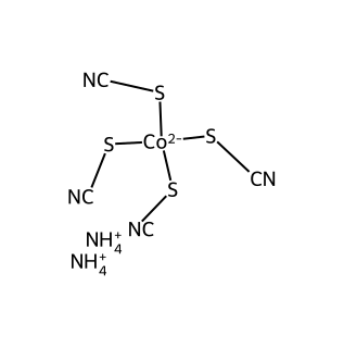 N#C[S][Co-2]([S]C#N)([S]C#N)[S]C#N.[NH4+].[NH4+]